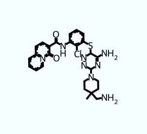 CC1(CN)CCN(C2N=NC(Sc3cccc(NC(=O)c4ccc5ccccn5c4=O)c3Cl)C(N)=N2)CC1